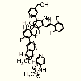 CC1(C)[C@@H]2c3cc(-c4c(F)cccc4F)nnc3[C@@]1(c1cc(CO)ccn1)CC2c1ccc(F)c(-c2cc3c(nn2)[C@@]2(c4cc(NS(C)(=O)=O)ccn4)CC[C@@H]3C2(C)C)c1F